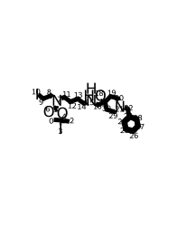 CC(C)(I)OC(=O)N(CCI)CCCCNCC1(O)CCN(Cc2ccccc2)CC1